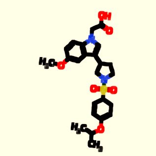 COc1ccc2c(c1)c(C1CCN(S(=O)(=O)C3C=CC(OC(C)C)=CC3)C1)cn2CC(=O)O